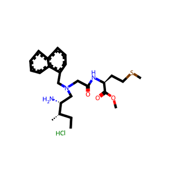 CC[C@H](C)[C@H](N)CN(CC(=O)N[C@@H](CCSC)C(=O)OC)Cc1cccc2ccccc12.Cl